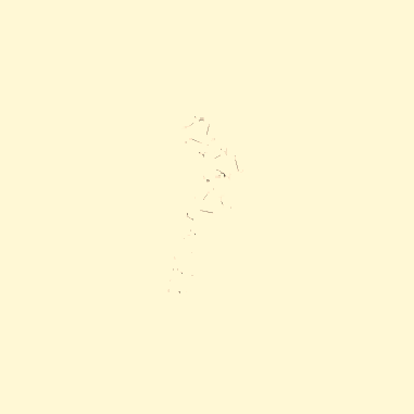 O=C(NCCCN1CCOCC1)c1cccc(Nc2nccnc2Nc2ccncc2)c1